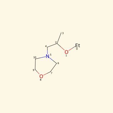 [CH2]COC(C)CN1CCOCC1